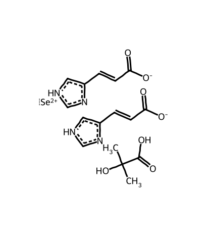 CC(C)(O)C(=O)O.O=C([O-])C=Cc1c[nH]cn1.O=C([O-])C=Cc1c[nH]cn1.[Se+2]